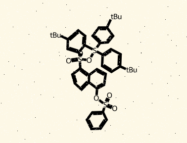 CC(C)(C)c1ccc(S(OS(=O)(=O)c2cccc3c(OS(=O)(=O)c4ccccc4)cccc23)(c2ccc(C(C)(C)C)cc2)c2ccc(C(C)(C)C)cc2)cc1